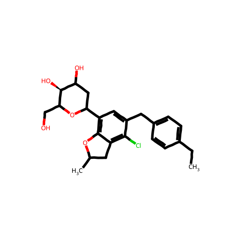 CCc1ccc(Cc2cc(C3CC(O)[C@H](O)C(CO)O3)c3c(c2Cl)CC(C)O3)cc1